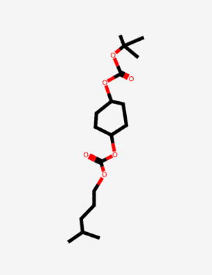 CC(C)CCCOC(=O)OC1CCC(OC(=O)OC(C)(C)C)CC1